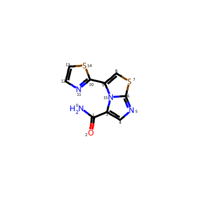 NC(=O)c1cnc2scc(-c3nccs3)n12